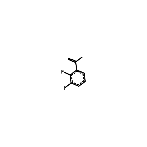 C=C(C)c1cccc(I)c1F